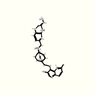 Cc1ccc2ncc(F)c(CCC34CCC(NCc5ccc6c(n5)N/C(=N/O)CO6)(CC3)CO4)c2n1